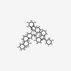 c1ccc(-n2c3ccccc3c3c(N(c4ccc5ccc6c7ccccc7ccc6c5c4)c4cccc5c4sc4ccccc45)cccc32)cc1